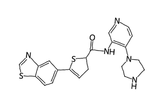 O=C(Nc1cnccc1N1CCNCC1)C1CC=C(c2ccc3scnc3c2)S1